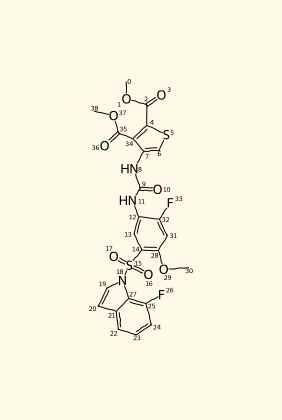 COC(=O)c1scc(NC(=O)Nc2cc(S(=O)(=O)n3ccc4cccc(F)c43)c(OC)cc2F)c1C(=O)OC